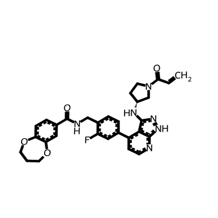 C=CC(=O)N1CC[C@@H](Nc2n[nH]c3nccc(-c4ccc(CNC(=O)c5ccc6c(c5)OCCCO6)c(F)c4)c23)C1